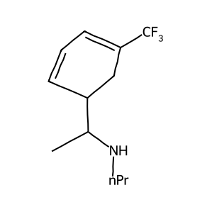 CCCNC(C)C1C=CC=C(C(F)(F)F)C1